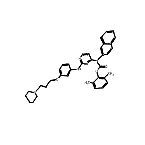 Cc1cccc(C)c1OC(=O)N(c1ccc2ccccc2c1)c1ccnc(Nc2cccc(OCCCN3CCCCC3)c2)n1